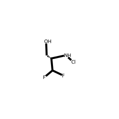 OC[C@H](NCl)C(F)F